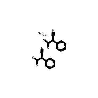 N#CC(C(=S)[S-])c1ccccc1.N#CC(C(=S)[S-])c1ccccc1.[Na+].[Na+]